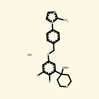 COC1(c2cc(OCc3ccc(-n4ccnc4C)cc3)cc(F)c2F)CCOCC1.Cl